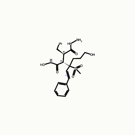 CC(C)C[C@@H](C(=O)NN)[C@@H](C(=O)NO)C(/C=C/c1ccccc1)(CCCO)S(C)(=O)=O